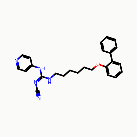 N#C/N=C(\NCCCCCCOc1ccccc1-c1ccccc1)Nc1ccncc1